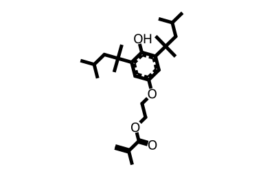 C=C(C)C(=O)OCCOc1cc(C(C)(C)CC(C)C)c(O)c(C(C)(C)CC(C)C)c1